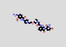 CCN(CCOCCN1CCC(NC(=O)C2=CCC(N)C(OC)=C2)CC1)CC(=O)Nc1cccc2c1CN(C1CCC(=O)NC1=O)C2=O